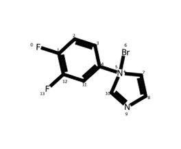 Fc1ccc([N+]2(Br)C=CN=C2)cc1F